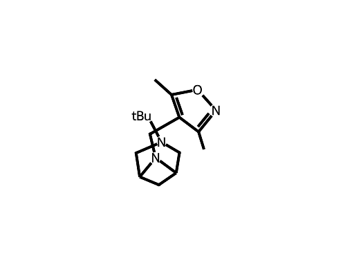 Cc1noc(C)c1CN1C2CC1CN(C(C)(C)C)C2